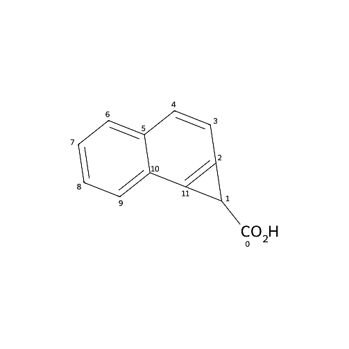 O=C(O)C1c2ccc3ccccc3c21